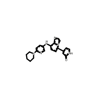 O=c1cc(-c2ccc(Nc3ccc(N4CCCCC4)nc3)c3nccn23)cc[nH]1